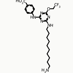 NCCCCCCCCCCNc1nc(Nc2ccc(C(=O)O)cc2)nc(OCC(F)(F)F)n1